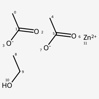 CC(=O)[O-].CC(=O)[O-].CCO.[Zn+2]